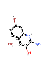 Br.Nc1nc2cc(Br)ccc2cc1O